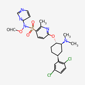 Cc1nc(O[C@H]2CC[C@H](c3cc(Cl)ccc3Cl)C[C@@H]2N(C)C)ccc1S(=O)(=O)N(OC=O)c1ccncn1